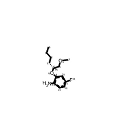 CCCC[C@H](COC)Oc1cc(F)ccc1N